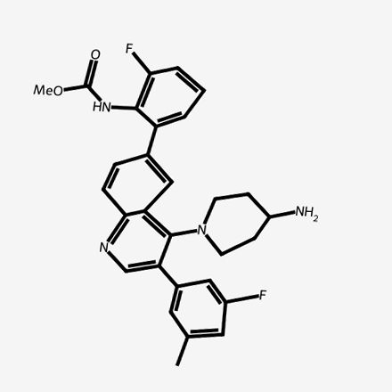 COC(=O)Nc1c(F)cccc1-c1ccc2ncc(-c3cc(C)cc(F)c3)c(N3CCC(N)CC3)c2c1